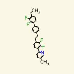 CCc1ccc(-c2ccc(CCc3ccc(-c4ccc(C)cn4)c(F)c3F)cc2)c(F)c1F